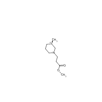 COC(=O)CCN1CCC[C@@H](C)C1